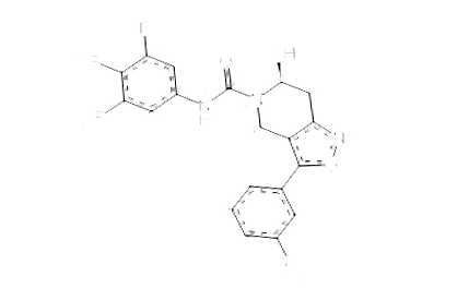 C[C@H]1Cc2noc(-c3cccc(Cl)c3)c2CN1C(=O)Nc1cc(F)c(F)c(F)c1